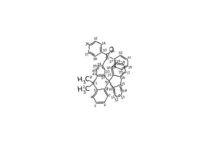 CC1(C)c2ccccc2C2(c3ccccc3-c3ccccc32)c2cc(P(=O)(c3ccccc3)c3ccccc3)ccc21